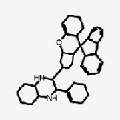 C1=CC2C3C=CC=CC3C3(C4CCCC=C4OC4CC(C5NC6CCCCC6NC5C5=CCCCC5)CCC43)C2C=C1